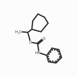 CC(OC(=O)Nc1ccccc1)C1CCCCC1